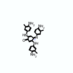 Cc1cc(/N=C2\C=C(Nc3ccc(N)c(C)c3)C(=O)C=C2Nc2ccc(N)c(C)c2)ccc1N